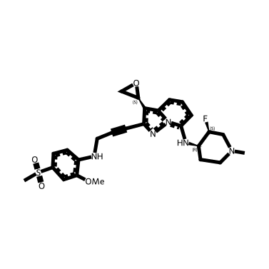 COc1cc(S(C)(=O)=O)ccc1NCC#Cc1nn2c(N[C@@H]3CCN(C)C[C@@H]3F)cccc2c1[C@H]1CO1